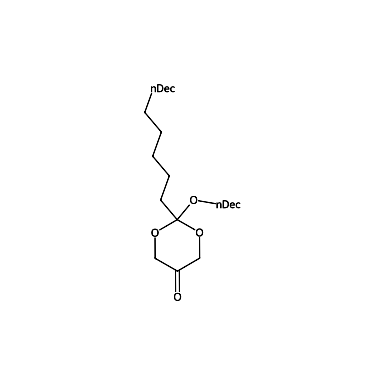 CCCCCCCCCCCCCCCC1(OCCCCCCCCCC)OCC(=O)CO1